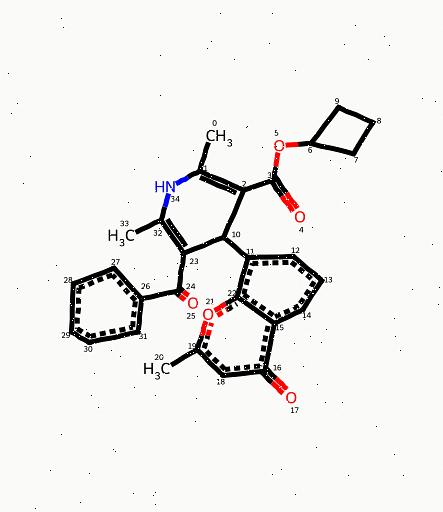 CC1=C(C(=O)OC2CCC2)C(c2cccc3c(=O)cc(C)oc23)C(C(=O)c2ccccc2)=C(C)N1